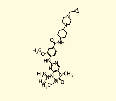 CC[C@@H]1C(=O)N(C)c2cnc(Nc3ccc(C(=O)NC4CCC(N5CCN(CC6CC6)CC5)CC4)cc3OC)nc2N1N(C)C